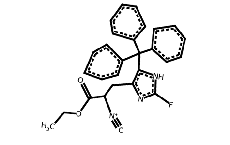 [C-]#[N+]C(Cc1nc(F)[nH]c1C(c1ccccc1)(c1ccccc1)c1ccccc1)C(=O)OCC